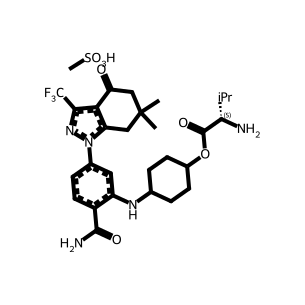 CC(C)[C@H](N)C(=O)OC1CCC(Nc2cc(-n3nc(C(F)(F)F)c4c3CC(C)(C)CC4=O)ccc2C(N)=O)CC1.CS(=O)(=O)O